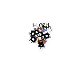 CC(C)(C)[S@@+]([O-])N[C@@H](c1ccc2ccccc2c1)c1c(CP(c2ccccc2)c2ccccc2)n(S(=O)(=O)c2ccccc2)c2ccccc12